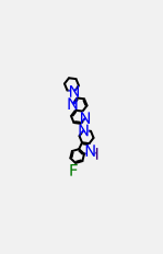 Fc1ccc2c3c(n(I)c2c1)CCN(c1ccc2nc(N4CCCCC4)ccc2n1)C3